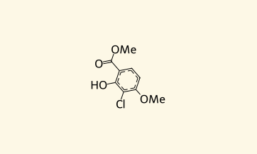 COC(=O)c1ccc(OC)c(Cl)c1O